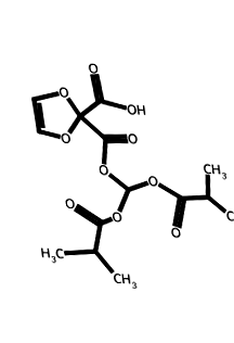 CC(C)C(=O)OC(OC(=O)C(C)C)OC(=O)C1(C(=O)O)OC=CO1